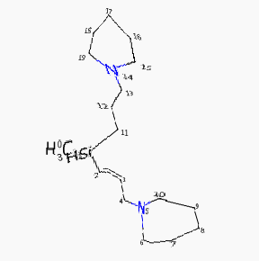 C[SiH](C=CCN1CCCCC1)CCCN1CCCCC1